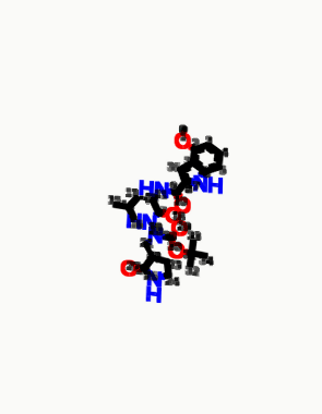 COc1cccc2[nH]c(C(=O)N[C@@H](CC(C)C)C(=O)NN(C[C@H]3CCNC3=O)C(=O)OC(C)(C)C)cc12